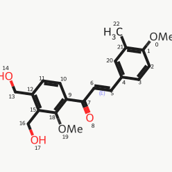 COc1ccc(/C=C/C(=O)c2ccc(CO)c(CO)c2OC)cc1C